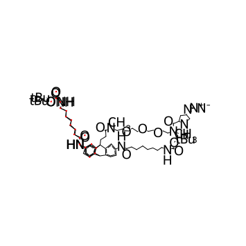 CN(CCOCCOCCOCCN(C)C(=O)C1CC(N=[N+]=[N-])CN1)C(=O)CCC12c3cc(NC(=O)CCCCCCCNC(=O)OC(C)(C)C)ccc3C(c3ccc(NC(=O)CCCCCCCNC(=O)OC(C)(C)C)cc31)c1ccc(NC(=O)CCCCCCCNC(=O)OC(C)(C)C)cc12